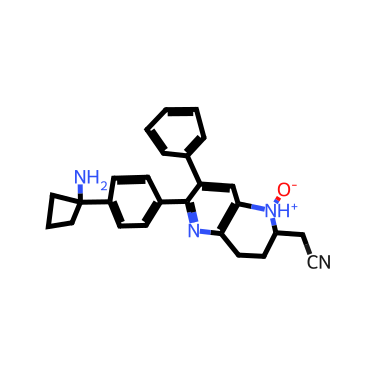 N#CCC1CCc2nc(-c3ccc(C4(N)CCC4)cc3)c(-c3ccccc3)cc2[NH+]1[O-]